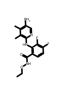 Bc1cnc(Nc2c(C(=O)NOCC)ccc(F)c2F)c(C)c1C